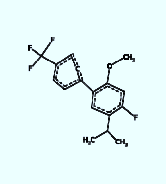 COc1cc(F)c(C(C)C)cc1-c1ccc(C(F)(F)F)cc1